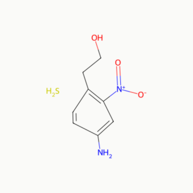 Nc1ccc(CCO)c([N+](=O)[O-])c1.S